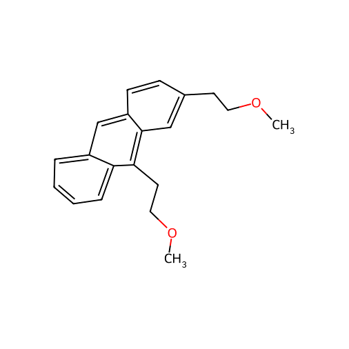 COCCc1ccc2cc3ccccc3c(CCOC)c2c1